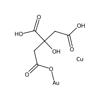 O=C(O)CC(O)(CC(=O)[O][Au])C(=O)O.[Cu]